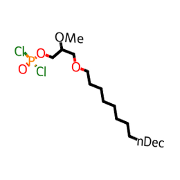 CCCCCCCCCCCCCCCCCCOCC(COP(=O)(Cl)Cl)OC